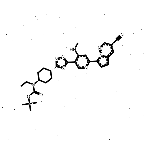 CCN(C(=O)OC(C)(C)C)[C@H]1CC[C@H](c2nnc(-c3cnc(-c4ccc5cc(C#N)cnn45)cc3NC)s2)CC1